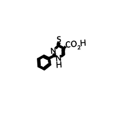 O=C(O)c1c[nH]c(-c2ccccc2)nc1=S